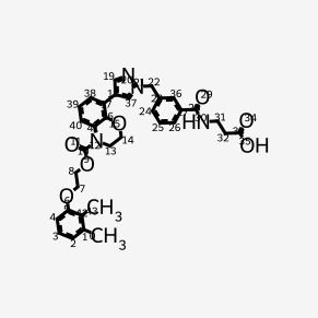 Cc1cccc(OCCOC(=O)N2CCOc3c(-c4cnn(Cc5cccc(C(=O)NCCC(=O)O)c5)c4)cccc32)c1C